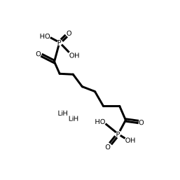 O=C(CCCCCCC(=O)P(=O)(O)O)P(=O)(O)O.[LiH].[LiH]